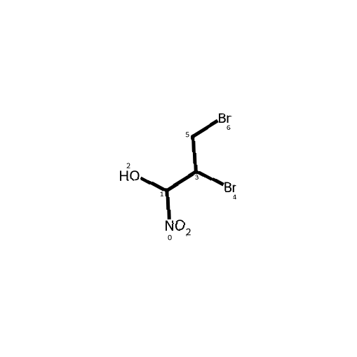 O=[N+]([O-])C(O)C(Br)CBr